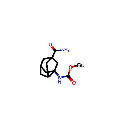 CC(C)(C)OC(=O)NC12CC3CC1CC(C(N)=O)(C3)C2